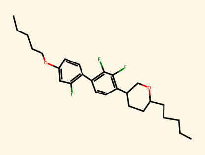 CCCCCOc1ccc(-c2ccc(C3CCC(CCCCC)OC3)c(F)c2F)c(F)c1